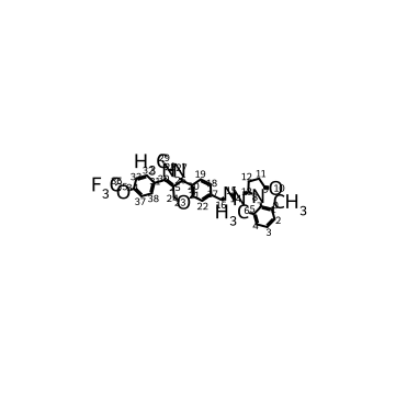 Cc1cccc(C)c1N1C(=O)CC/C1=N\N=C\c1ccc2c(c1)OCc1c-2nn(C)c1-c1ccc(OC(F)(F)F)cc1